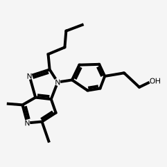 CCCCc1nc2c(C)nc(C)cc2n1-c1ccc(CCO)cc1